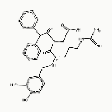 Cc1cc(CN[C@@H](CCCNC(=N)N)C(=O)N(CC(=O)O)C(=O)C(c2ccccc2)c2ccccc2)ccc1O